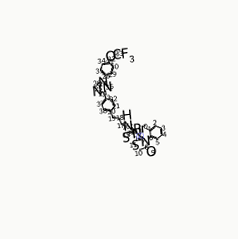 CC(C)c1ccccc1N1C(=O)CS/C1=N\C(=S)NCCCc1ccc(-c2ncn(-c3ccc(OC(F)(F)F)cc3)n2)cc1